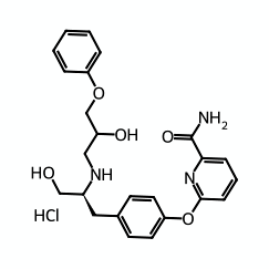 Cl.NC(=O)c1cccc(Oc2ccc(C[C@@H](CO)NCC(O)COc3ccccc3)cc2)n1